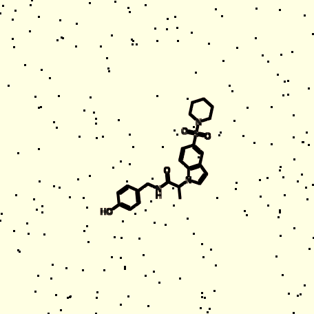 CC(C(=O)NCc1ccc(O)cc1)n1ccc2cc(S(=O)(=O)N3CCCCC3)ccc21